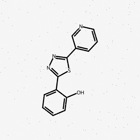 Oc1ccccc1-c1nnc(-c2cccnc2)s1